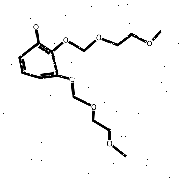 COCCOCOc1cccc([O])c1OCOCCOC